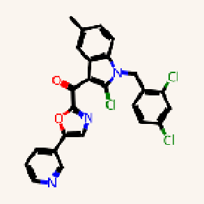 Cc1ccc2c(c1)c(C(=O)c1ncc(-c3cccnc3)o1)c(Cl)n2Cc1ccc(Cl)cc1Cl